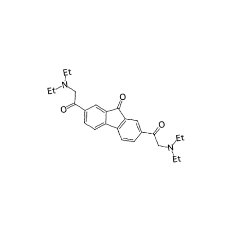 CCN(CC)CC(=O)c1ccc2c(c1)C(=O)c1cc(C(=O)CN(CC)CC)ccc1-2